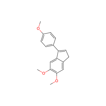 COc1ccc(C2=CCc3cc(OC)c(OC)cc32)cc1